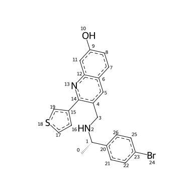 C[C@H](NCc1cc2ccc(O)cc2nc1-c1ccsc1)c1ccc(Br)cc1